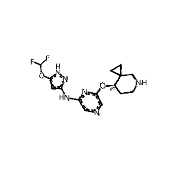 FC(F)Oc1cc(Nc2cncc(O[C@@H]3CCNCC34CC4)n2)n[nH]1